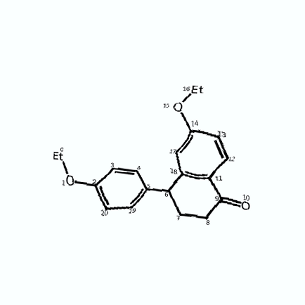 CCOc1ccc(C2CCC(=O)c3ccc(OCC)cc32)cc1